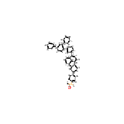 CP(C)(=O)c1ccc(-c2ccc3c(c2)-c2cccc4c(-c5cccc(-c6ccc(-c7ccccc7)cc6-c6ccccc6)c5)ccc-3c24)cc1